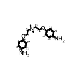 C[N+](C)(CCOc1ccc(N)cc1)CCOc1ccc(N)cc1